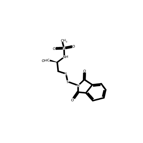 CS(=O)(=O)N[C@H](C=O)CSSN1C(=O)c2ccccc2C1=O